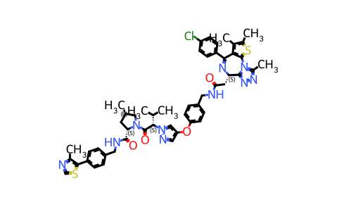 Cc1ncsc1-c1ccc(CNC(=O)[C@@H]2C[C@@H](C)CN2C(=O)[C@H](C(C)C)n2cc(Oc3ccc(CNC(=O)C[C@@H]4N=C(c5ccc(Cl)cc5)c5c(sc(C)c5C)-n5c(C)nnc54)cc3)cn2)cc1